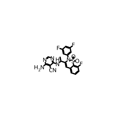 CC(Nc1ncnc(N)c1C#N)C1=Cc2cccc(F)c2S(=O)(=O)N1c1cc(F)cc(F)c1